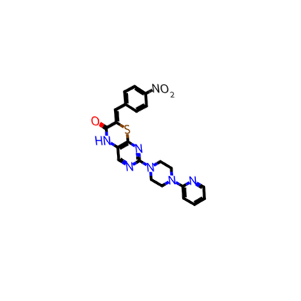 O=C1Nc2cnc(N3CCN(c4ccccn4)CC3)nc2SC1=Cc1ccc([N+](=O)[O-])cc1